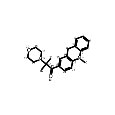 CN1c2ccccc2Cc2cc(C(=O)C(C)(C)N3CCOCC3)ccc21